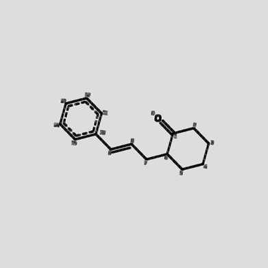 O=C1CCCCC1CC=Cc1ccccc1